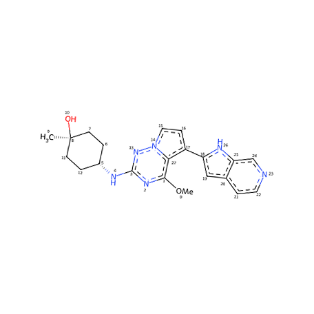 COc1nc(N[C@H]2CC[C@](C)(O)CC2)nn2ccc(-c3cc4ccncc4[nH]3)c12